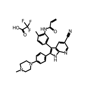 C=CC(=O)Nc1cc(-c2c(-c3ccc(N4CCN(C)CC4)cc3)[nH]c3ncc(C#N)cc23)ccc1C.O=C(O)C(F)(F)F